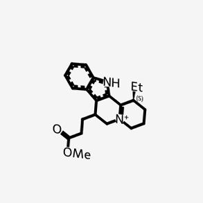 CC[C@H]1CCC[N+]2=C1c1[nH]c3ccccc3c1C(CCC(=O)OC)C2